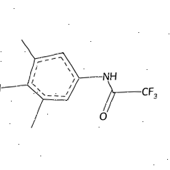 Cc1cc(NC(=O)C(F)(F)F)cc(C)c1I